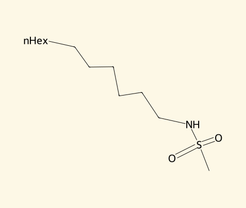 CCCCCCCCCCCCNS(C)(=O)=O